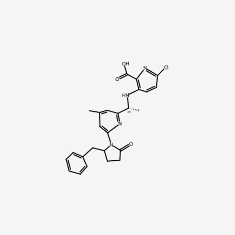 Cc1cc([C@@H](C)Nc2ccc(Cl)nc2C(=O)O)nc(N2C(=O)CCC2Cc2ccccc2)c1